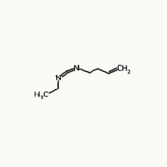 C=CCCN=C=NCC